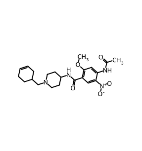 COc1cc(NC(C)=O)c([N+](=O)[O-])cc1C(=O)NC1CCN(CC2CC=CCC2)CC1